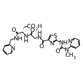 CN(C(=O)Nc1nc(C(=O)NCC(=O)N[C@@H](CC(=O)O)C(=O)NCc2ccccn2)cs1)c1ccccn1